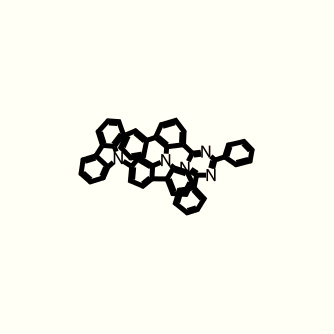 c1ccc(-c2nc(-c3ccccc3)nc(-c3cccc(-c4ccccc4)c3-n3c4ccccc4c4ccc(-n5c6ccccc6c6ccccc65)cc43)n2)cc1